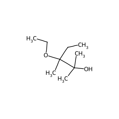 CCOC(C)(CC)C(C)(C)O